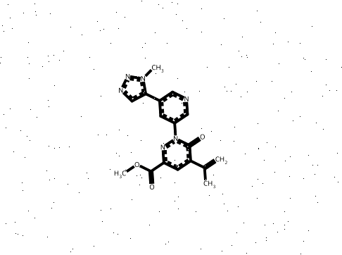 C=C(C)c1cc(C(=O)OC)nn(-c2cncc(-c3cnnn3C)c2)c1=O